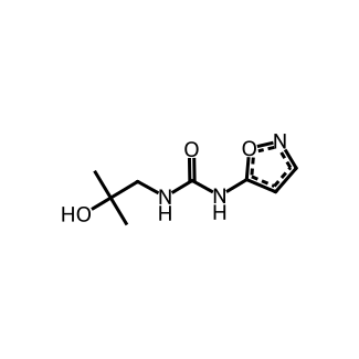 CC(C)(O)CNC(=O)Nc1ccno1